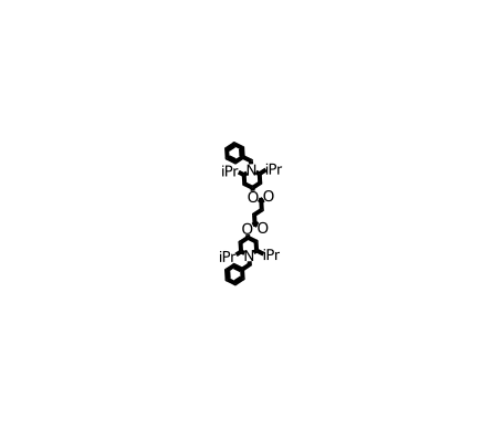 CC(C)C1CC(OC(=O)CCC(=O)OC2CC(C(C)C)N(Cc3ccccc3)C(C(C)C)C2)CC(C(C)C)N1Cc1ccccc1